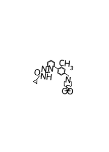 Cc1cc(CN2CCS(=O)(=O)CC2)ccc1-c1cccc2nc(NC(=O)C3CC3)cn12